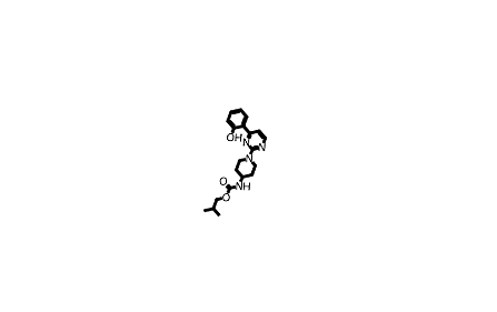 CC(C)COC(=O)NC1CCN(c2nccc(-c3ccccc3O)n2)CC1